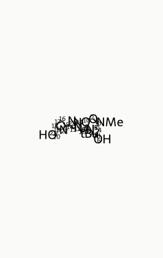 CNC(=O)[C@@H]1C[C@@H](O)CN1C(=O)[C@@H](n1cc(-c2cccc(CO)n2)nn1)C(C)(C)C